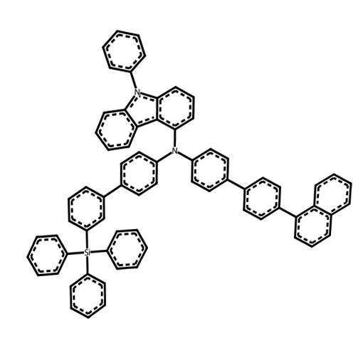 c1ccc(-n2c3ccccc3c3c(N(c4ccc(-c5ccc(-c6cccc7ccccc67)cc5)cc4)c4ccc(-c5cccc([Si](c6ccccc6)(c6ccccc6)c6ccccc6)c5)cc4)cccc32)cc1